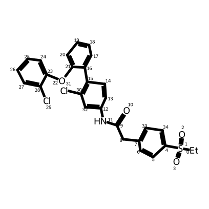 CCS(=O)(=O)c1ccc(CC(=O)Nc2ccc(-c3ccccc3Oc3ccccc3Cl)c(Cl)c2)cc1